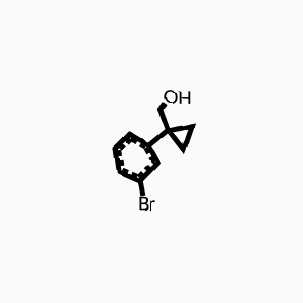 OCC1(c2cccc(Br)c2)CC1